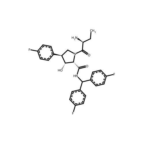 CC[C@H](N)C(=O)N1C[C@H](c2ccc(F)cc2)[C@@H](O)[C@H]1C(=O)NC(c1ccc(F)cc1)c1ccc(F)cc1